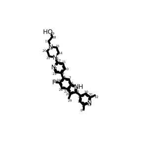 Cc1cc(-c2[nH]c3cc(-c4ccc(N5CCN(CCO)CC5)nc4)c(F)cc3c2C)cc(C)n1